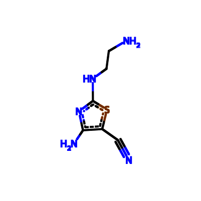 N#Cc1sc(NCCN)nc1N